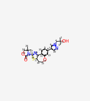 CC(C)(O)Cn1cc(-c2ccc3c(c2)OCCC2SC(N4C(=O)OCC4(C)C)=NC32)cn1